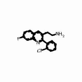 NCCc1cc2ccc(F)cc2nc1-c1ccccc1Cl